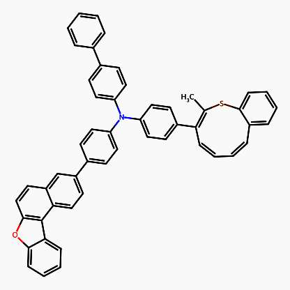 Cc1sc2ccccc2ccccc1-c1ccc(N(c2ccc(-c3ccccc3)cc2)c2ccc(-c3ccc4c(ccc5oc6ccccc6c54)c3)cc2)cc1